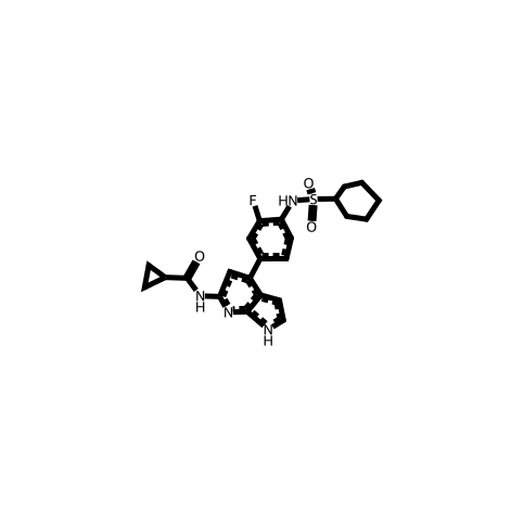 O=C(Nc1cc(-c2ccc(NS(=O)(=O)C3CCCCC3)c(F)c2)c2cc[nH]c2n1)C1CC1